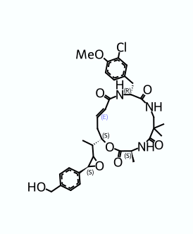 COc1ccc(C[C@H]2NC(=O)/C=C/C[C@@H](C(C)C3O[C@H]3c3ccc(CO)cc3)OC(=O)[C@H](C)NC(=O)C(C)(C)CNC2=O)cc1Cl